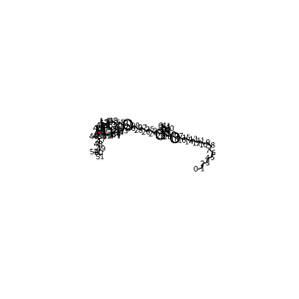 CCCCC/C=C\C/C=C\CCCCCCCCOCCC(OCCCCCCCCO[C@H]1CC[C@@]2(C)C(=CC[C@H]3[C@@H]4CC[C@H]([C@H](C)CCCC(C)C)[C@@]4(C)CC[C@@H]32)C1)N(C)C